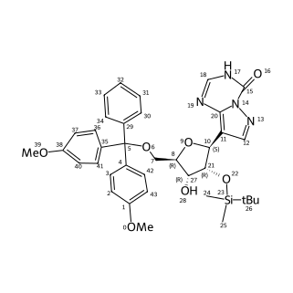 COc1ccc(C(OC[C@H]2O[C@@H](c3cnn4c(=O)[nH]cnc34)[C@H](O[Si](C)(C)C(C)(C)C)[C@@H]2O)(c2ccccc2)c2ccc(OC)cc2)cc1